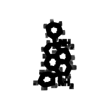 NC1(c2ccccc2)C=Cc2ccc3c4c(ccc1c24)C=CC3(N)c1ccccc1